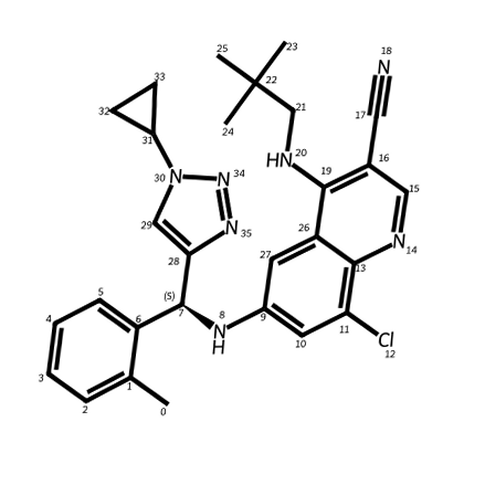 Cc1ccccc1[C@H](Nc1cc(Cl)c2ncc(C#N)c(NCC(C)(C)C)c2c1)c1cn(C2CC2)nn1